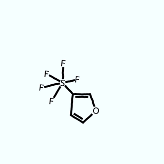 FS(F)(F)(F)(F)c1ccoc1